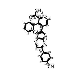 COc1ccccc1-c1c(-c2nc3ncc(-c4ccc(C#N)cc4)nc3s2)ccnc1C(N)=O